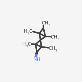 CC1C2(C)C1(C)C21C2(C)C(=N)C21C